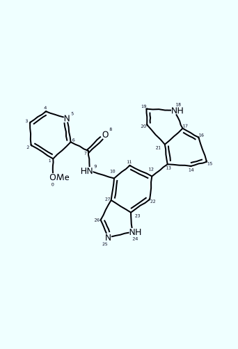 COc1cccnc1C(=O)Nc1cc(-c2cccc3[nH]ccc23)cc2[nH]ncc12